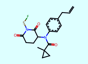 C=CCc1ccc(N(C(=O)C2(C)CC2)C2CCC(=O)N(SF)C2=O)cc1